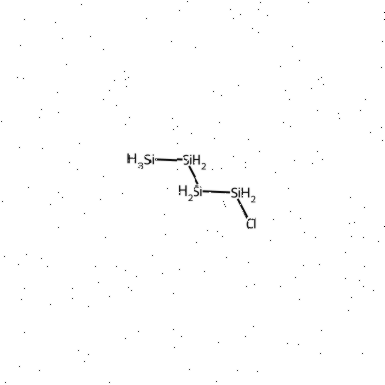 [SiH3][SiH2][SiH2][SiH2]Cl